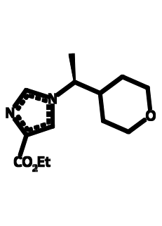 CCOC(=O)c1cn([C@@H](C)C2CCOCC2)cn1